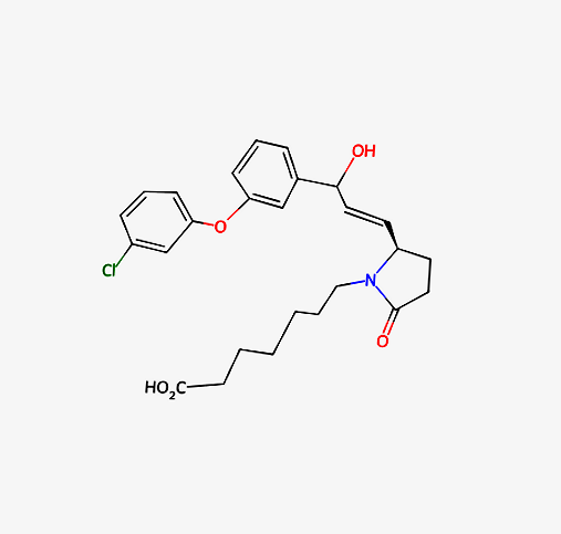 O=C(O)CCCCCCN1C(=O)CC[C@@H]1C=CC(O)c1cccc(Oc2cccc(Cl)c2)c1